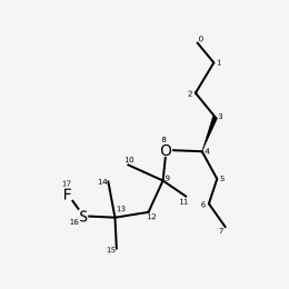 CCCC[C@@H](CCC)OC(C)(C)CC(C)(C)SF